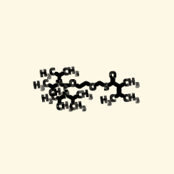 CC(C)=C(C)C(=O)SCOCCOP(N(C(C)C)C(C)C)N(C(C)C)C(C)C